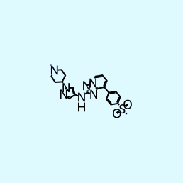 CN1CCC(n2cc(Nc3nc4c(-c5ccc(S(C)(=O)=O)cc5)cccn4n3)cn2)CC1